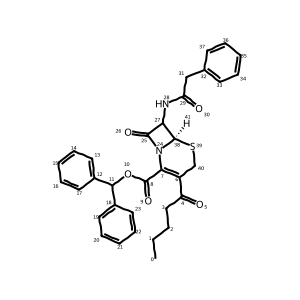 CCCCC(=O)C1=C(C(=O)OC(c2ccccc2)c2ccccc2)N2C(=O)C(NC(=O)Cc3ccccc3)[C@H]2SC1